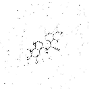 C#C[C@@H](Nc1ccnc2c1cc(Br)c(=O)n2C)c1cccc(C(F)F)c1F